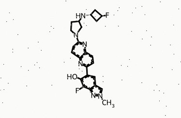 Cn1cc2cc(-c3ccc4nc(N5CCC(N[C@H]6C[C@H](F)C6)C5)ccc4n3)c(O)c(F)c2n1